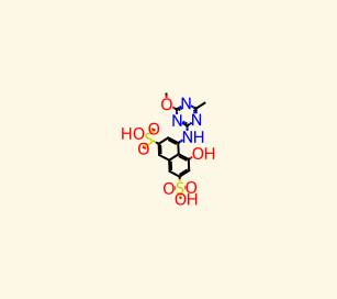 COc1nc(C)nc(Nc2cc(S(=O)(=O)O)cc3cc(S(=O)(=O)O)cc(O)c23)n1